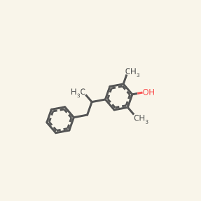 Cc1cc(C(C)Cc2ccccc2)cc(C)c1O